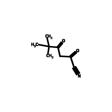 CC(C)(C)C(=O)CC(=O)C#N